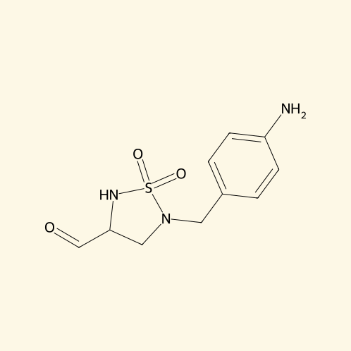 Nc1ccc(CN2CC(C=O)NS2(=O)=O)cc1